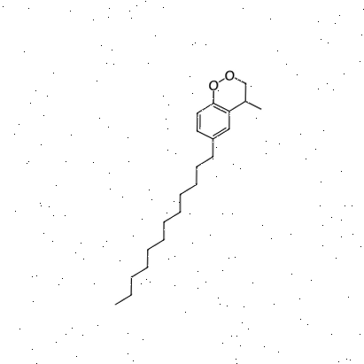 CCCCCCCCCCCCc1ccc2c(c1)C(C)COO2